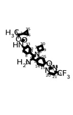 C[C@@H](OC(=O)Nc1ccc(-c2c(N)c3ccc(Oc4nccc(C(F)(F)F)n4)cc3n2C2CCC2)cc1)C1CC1